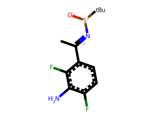 C/C(=N\[S+]([O-])C(C)(C)C)c1ccc(F)c(N)c1F